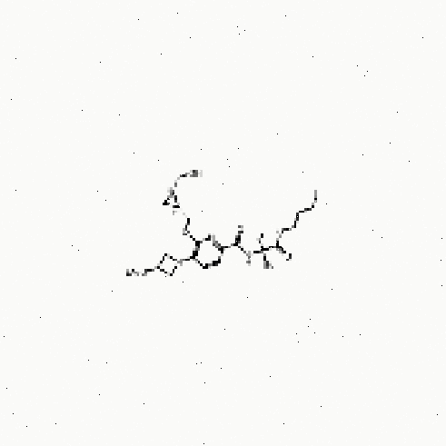 CCC(CC)(NC(=O)c1ccc(N2CC(OC)C2)c(OC[C@@H]2C[C@@H]2CO)n1)C(=O)OCCCF